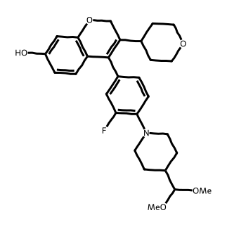 COC(OC)C1CCN(c2ccc(C3=C(C4CCOCC4)COc4cc(O)ccc43)cc2F)CC1